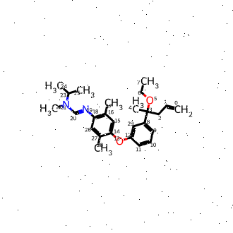 C=CCC(C)(OCC)c1cccc(Oc2cc(C)c(N=CN(C)C(C)C)cc2C)c1